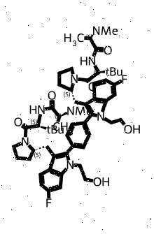 CN[C@@H](C)C(=O)N[C@H](C(=O)N1CCC[C@H]1Cc1c(-c2ccc(-c3c(C[C@@H]4CCCN4C(=O)[C@@H](NC(=O)[C@H](C)NC)C(C)(C)C)c4ccc(F)cc4n3CCO)cc2)n(CCO)c2cc(F)ccc12)C(C)(C)C